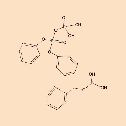 O=P(O)(O)OP(=O)(Oc1ccccc1)Oc1ccccc1.OP(O)OCc1ccccc1